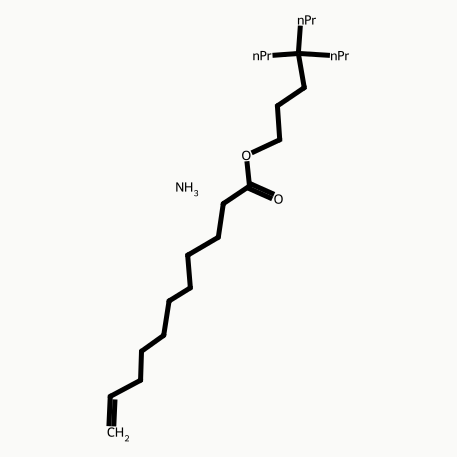 C=CCCCCCCCCC(=O)OCCCC(CCC)(CCC)CCC.N